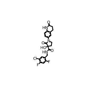 O=C1CCc2cc(N3CCC(O)(C(=O)NCc4cc(Cl)c(F)cc4F)C3=O)ccc2N1